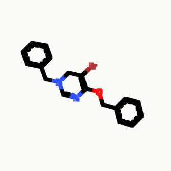 BrC1=C(OCc2ccccc2)N=CN(Cc2ccccc2)C1